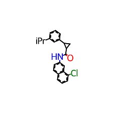 CC(C)c1cccc(C2CC2C(=O)Nc2ccc3cccc(Cl)c3c2)c1